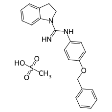 CS(=O)(=O)O.N=C(Nc1ccc(OCc2ccccc2)cc1)N1CCc2ccccc21